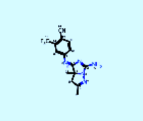 CC1=NN2C(N)=N/C(=N\c3ccc(C#N)c(C(F)(F)F)c3)C2(C)C1